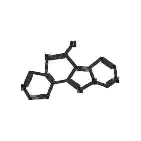 Clc1nc2cnccc2c2nn3cnccc3c12